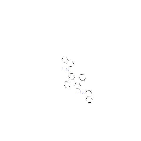 c1ccc(-c2cc(Nc3cccc4ccccc34)ccc2-c2ccc(Nc3cccc4ccccc34)cc2-c2ccccc2)cc1